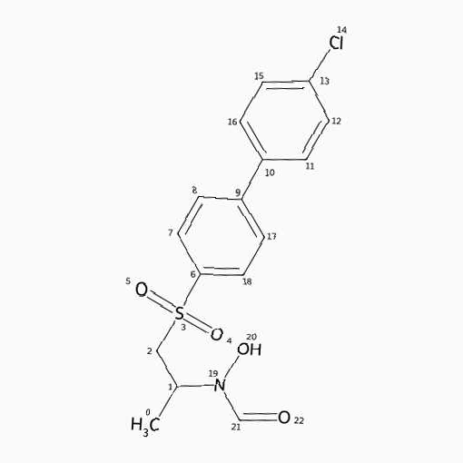 CC(CS(=O)(=O)c1ccc(-c2ccc(Cl)cc2)cc1)N(O)C=O